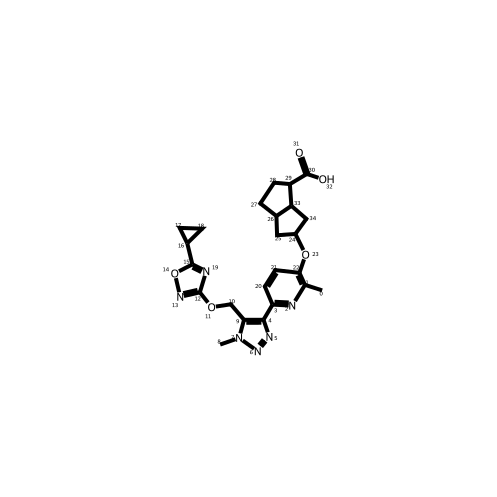 Cc1nc(-c2nnn(C)c2COc2noc(C3CC3)n2)ccc1OC1CC2CCC(C(=O)O)C2C1